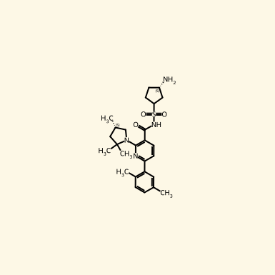 Cc1ccc(C)c(-c2ccc(C(=O)NS(=O)(=O)C3CC[C@H](N)C3)c(N3C[C@@H](C)CC3(C)C)n2)c1